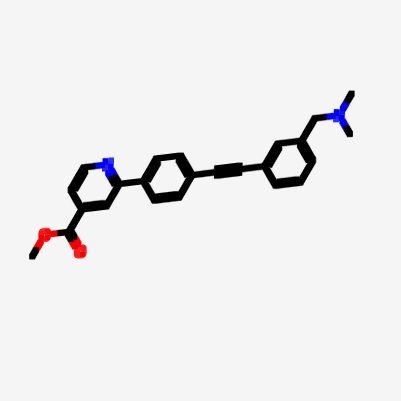 COC(=O)c1ccnc(-c2ccc(C#Cc3cccc(CN(C)C)c3)cc2)c1